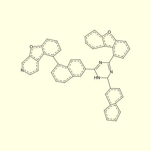 c1ccc2cc(C3N=C(c4cccc5oc6ccccc6c45)N=C(c4ccc5c(-c6cccc7oc8cnccc8c67)cccc5c4)N3)ccc2c1